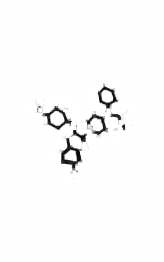 CCN(CC)C(=O)N(C1CCCCC1)C1CCN(C(=O)[C@@H](Cc2ccc(Cl)cc2)NC2CCC(NC(=O)O)CC2)CC1